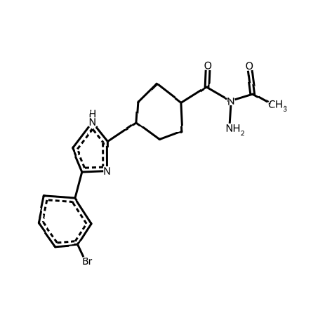 CC(=O)N(N)C(=O)C1CCC(c2nc(-c3cccc(Br)c3)c[nH]2)CC1